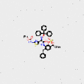 COC(=O)c1ccc(Cc2ccccc2)c(NC(=O)/C(=N\OC(c2ccccc2)(c2ccccc2)c2ccccc2)c2csc(NC(=O)OC(C)(C)C)n2)c1OS(C)(=O)=O